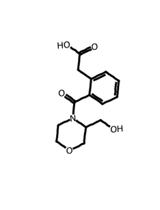 O=C(O)Cc1ccccc1C(=O)N1CCOCC1CO